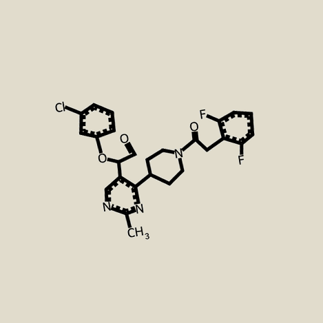 Cc1ncc(C(C=O)Oc2cccc(Cl)c2)c(C2CCN(C(=O)Cc3c(F)cccc3F)CC2)n1